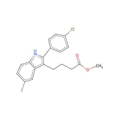 COC(=O)CCCc1c(-c2ccc(Cl)cc2)[nH]c2ccc(I)cc12